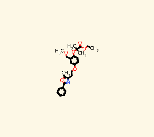 CCOC(=O)C(C)(C)Oc1ccc(OCCc2nc(-c3ccccc3)oc2C)cc1COC